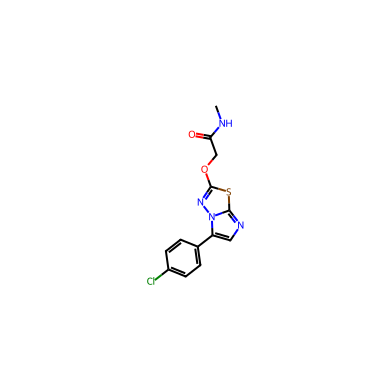 CNC(=O)COc1nn2c(-c3ccc(Cl)cc3)cnc2s1